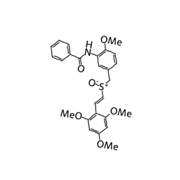 COc1cc(OC)c(C=C[S+]([O-])Cc2ccc(OC)c(NC(=O)c3ccccc3)c2)c(OC)c1